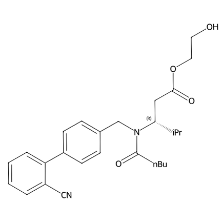 CCCCC(=O)N(Cc1ccc(-c2ccccc2C#N)cc1)[C@H](CC(=O)OCCO)C(C)C